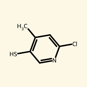 Cc1cc(Cl)ncc1S